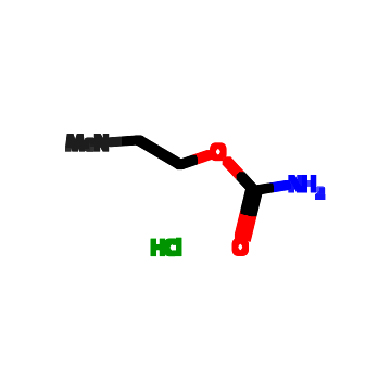 CNCCOC(N)=O.Cl